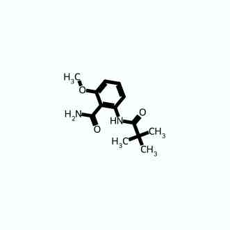 COc1cccc(NC(=O)C(C)(C)C)c1C(N)=O